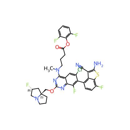 CN(CCCC(=O)Oc1c(F)cccc1F)c1nc(OC[C@@]23CCCN2C[C@H](F)C3)nc2c(F)c(-c3ccc(F)c4sc(N)c(C#N)c34)c(Cl)cc12